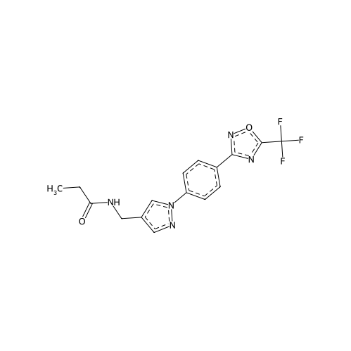 CCC(=O)NCc1cnn(-c2ccc(-c3noc(C(F)(F)F)n3)cc2)c1